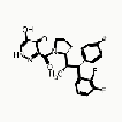 C[C@H]([C@H](c1ccc(F)cc1)c1cccc(F)c1F)[C@H]1CCCN1C(=O)c1n[nH]cc(O)c1=O